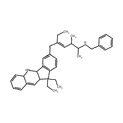 CCC(=CC(C)C(C)NCc1ccccc1)Cc1ccc2c(c1)C1NC3C=CC=CC3=CC1C2(CC)CC